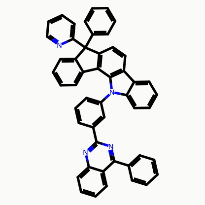 c1ccc(-c2nc(-c3cccc(-n4c5ccccc5c5ccc6c(c54)-c4ccccc4C6(c4ccccc4)c4ccccn4)c3)nc3ccccc23)cc1